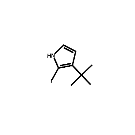 CC(C)(C)c1cc[nH]c1I